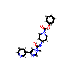 C[N+]1(C(=O)NC2CCN(C(=O)Oc3ccccc3)CC2)C=NC(c2cccnc2)=C1